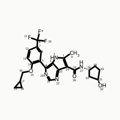 Cc1[nH]c2c(-c3cc(C(F)(F)F)ccc3OCC3CC3)ncnc2c1C(=O)N[C@@H]1CC[C@@H](O)C1